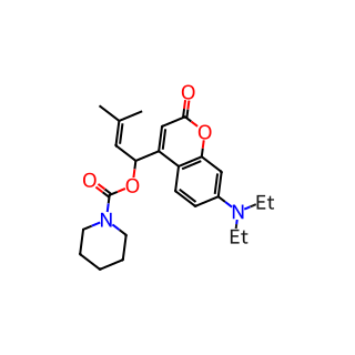 CCN(CC)c1ccc2c(C(C=C(C)C)OC(=O)N3CCCCC3)cc(=O)oc2c1